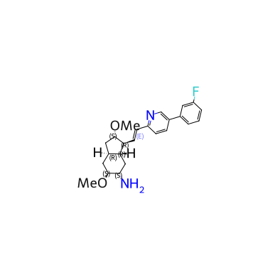 CO[C@H]1C[C@@H]2C[C@H](OC)[C@@H](N)C[C@H]2[C@@H]1/C=C/c1ccc(-c2cccc(F)c2)cn1